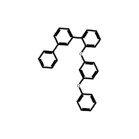 c1ccc(Oc2cccc(Oc3ccccc3-c3cccc(-c4ccccc4)c3)c2)cc1